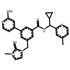 COc1cc(-c2cc(Cn3ccn(C)c3=N)cc(C(=O)NC(c3cc(C)ccn3)C3CC3)c2)ccn1